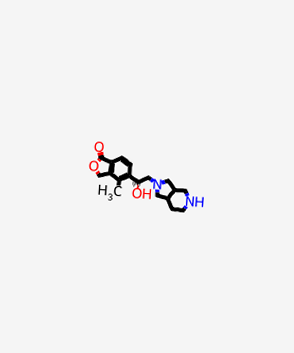 Cc1c([C@@H](O)CN2CC3CCNCC3C2)ccc2c1COC2=O